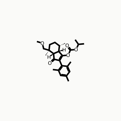 COC[C@@]1(C)CC[C@H](C)[C@@H]2C(OC(=O)OC(C)C)=C(c3c(C)cc(C)cc3C)C(=O)[C@@H]21